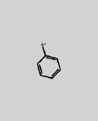 [CH2]C(=O)c1ccccc1